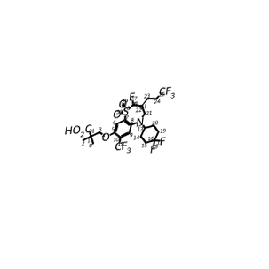 CC(C)(COc1cc2c(cc1C(F)(F)F)N(C1CCC(F)(F)CC1)C[C@H](CCC(F)(F)F)[C@H](F)S2(=O)=O)C(=O)O